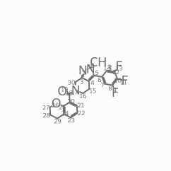 Cn1nc2c(c1-c1cc(F)c(F)c(F)c1)CCN(C(=O)c1cccc3c1OCCC3)C2